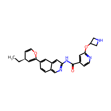 CC[C@H]1C=COC(c2ccc3cnc(NC(=O)c4ccnc(OC5CNC5)c4)cc3c2)=C1